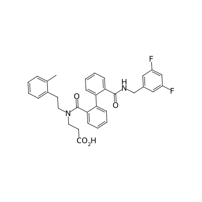 Cc1ccccc1CCN(CCC(=O)O)C(=O)c1ccccc1-c1ccccc1C(=O)NCc1cc(F)cc(F)c1